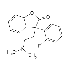 CN(C)CCC1(c2ccccc2F)C(=O)OC2C=CC=CC21